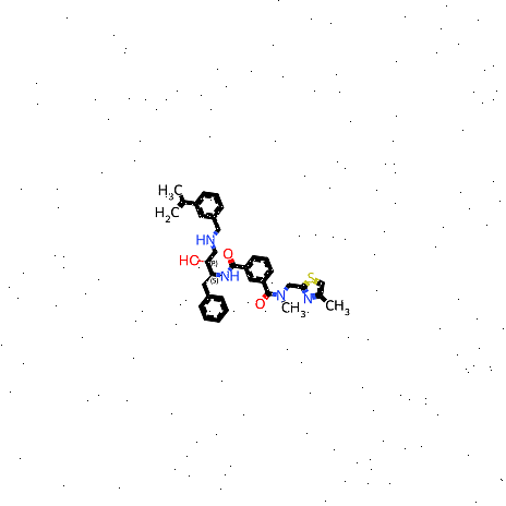 C=C(C)c1cccc(CNC[C@@H](O)[C@H](Cc2ccccc2)NC(=O)c2cccc(C(=O)N(C)Cc3nc(C)cs3)c2)c1